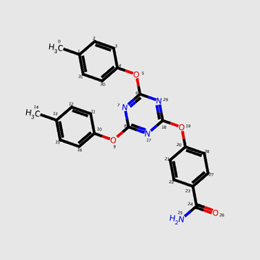 Cc1ccc(Oc2nc(Oc3ccc(C)cc3)nc(Oc3ccc(C(N)=O)cc3)n2)cc1